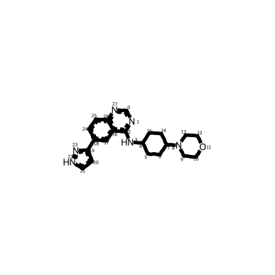 c1nc(NC2CCC(N3CCOCC3)CC2)c2cc(-c3cc[nH]n3)ccc2n1